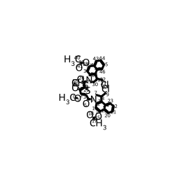 COc1c(C(=O)N2CC(CCl)c3c2cc(OC(C)=O)c2ccccc32)sc(C(=O)N2CC(CCl)c3c2cc(OC(C)=O)c2ccccc32)c1OC